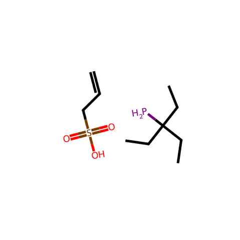 C=CCS(=O)(=O)O.CCC(P)(CC)CC